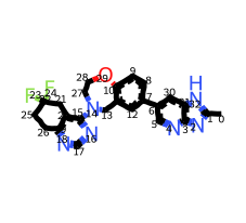 Cc1nc2ncc(-c3ccc4c(c3)CN(c3ncnc5c3CC(F)(F)CC5)CCO4)cc2[nH]1